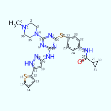 CN1CCN(c2nc(Nc3cc(-c4cccs4)[nH]n3)nc(Sc3ccc(NC(=O)C4CC4)cc3)n2)CC1